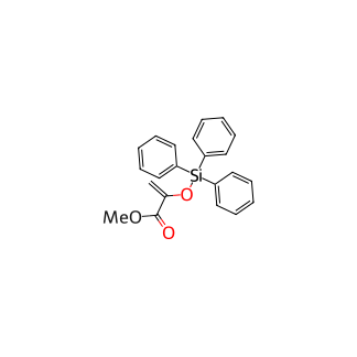 C=C(O[Si](c1ccccc1)(c1ccccc1)c1ccccc1)C(=O)OC